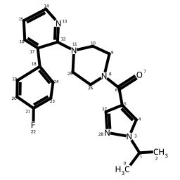 CC(C)n1cc(C(=O)N2CCN(c3ncccc3-c3ccc(F)cc3)CC2)cn1